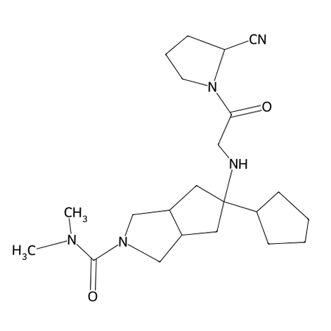 CN(C)C(=O)N1CC2CC(NCC(=O)N3CCCC3C#N)(C3CCCC3)CC2C1